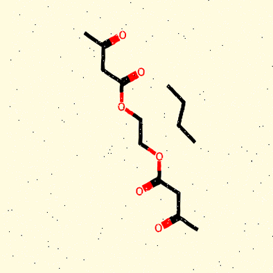 CC(=O)CC(=O)OCCOC(=O)CC(C)=O.CCCC